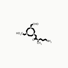 CN(CCCN)C(=O)CN1CCN(CC=O)CCN(CC(=O)O)CC1